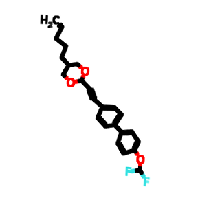 C=CCCCC1COC(C#Cc2ccc(-c3ccc(OC(F)F)cc3)cc2)OC1